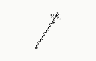 CC(C)(C)OC(=O)NCCOCCOCCOCCOCCOCCBr